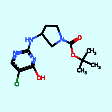 CC(C)(C)OC(=O)N1CCC(Nc2ncc(Cl)c(O)n2)C1